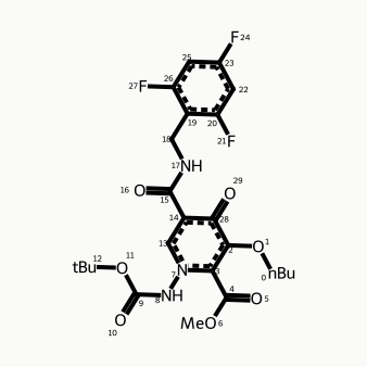 CCCCOc1c(C(=O)OC)n(NC(=O)OC(C)(C)C)cc(C(=O)NCc2c(F)cc(F)cc2F)c1=O